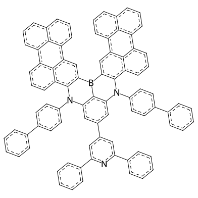 c1ccc(-c2ccc(N3c4cc(-c5cc(-c6ccccc6)nc(-c6ccccc6)c5)cc5c4B(c4cc6c7cccc8cccc(c9cccc(c43)c96)c87)c3cc4c6cccc7cccc(c8cccc(c3N5c3ccc(-c5ccccc5)cc3)c84)c76)cc2)cc1